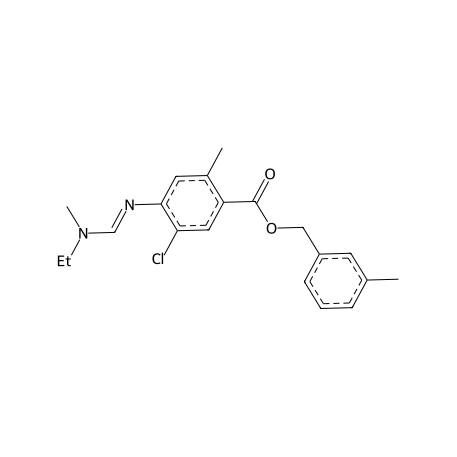 CCN(C)/C=N/c1cc(C)c(C(=O)OCc2cccc(C)c2)cc1Cl